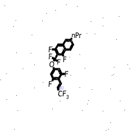 CCCc1ccc2c(F)c(C(F)(F)Oc3cc(F)c(/C=C/C(F)(F)F)c(F)c3)c(F)cc2c1